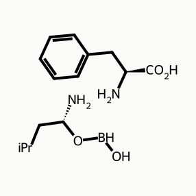 CC(C)C[C@H](N)OBO.N[C@@H](Cc1ccccc1)C(=O)O